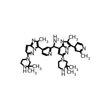 Cc1cc(-c2c(C)nc3c(C(N)c4cc(-c5c(C)nc6ccc(N7CCNC(C)(C)C7)nn56)ccn4)cc(N4CCNC(C)(C)C4)nn23)ccn1